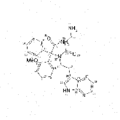 COc1ccccc1C(C(N)=O)(c1ccccc1)N(CCc1c[nH]c2ccccc12)C(=O)CCN